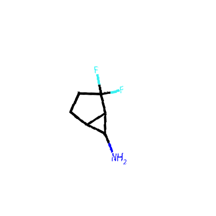 NC1C2CCC(F)(F)C12